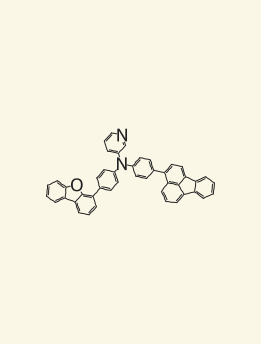 c1cncc(N(c2ccc(-c3ccc4c5c(cccc35)-c3ccccc3-4)cc2)c2ccc(-c3cccc4c3oc3ccccc34)cc2)c1